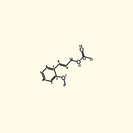 COc1ccccc1C=CCOC(C)=O